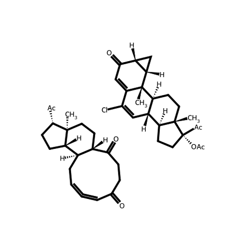 CC(=O)O[C@]1(C(C)=O)CC[C@H]2[C@@H]3C=C(Cl)C4=CC(=O)[C@@H]5C[C@@H]5[C@]4(C)[C@H]3CC[C@@]21C.CC(=O)[C@H]1CC[C@H]2[C@@H]3CC=C=CC(=O)CCC(=O)[C@H]3CC[C@]12C